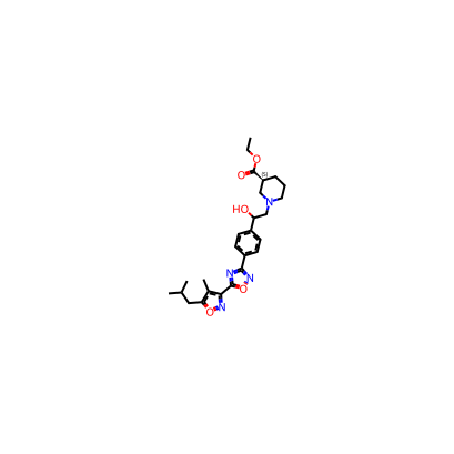 CCOC(=O)[C@H]1CCCN(CC(O)c2ccc(-c3noc(-c4noc(CC(C)C)c4C)n3)cc2)C1